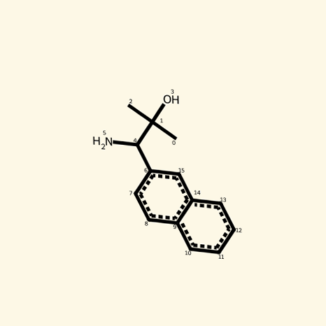 CC(C)(O)C(N)c1ccc2ccccc2c1